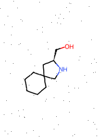 OC[C@@H]1CC2(CCCCC2)CN1